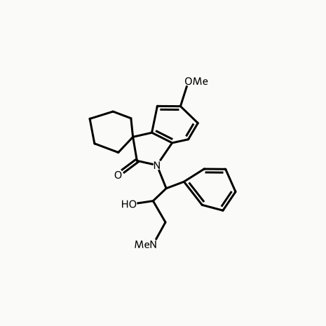 CNCC(O)C(c1ccccc1)N1C(=O)C2(CCCCC2)c2cc(OC)ccc21